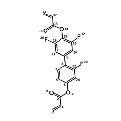 C=CC(=O)Oc1ccc(-c2cc(F)c(OC(=O)C=C)c(F)c2)c(F)c1